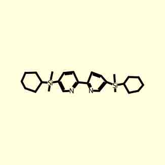 C[Si](C)(c1ccc(-c2ccc([Si](C)(C)C3CCCCC3)cn2)nc1)C1CCCCC1